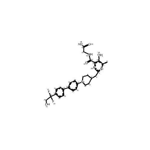 Cc1nc(CC2CCN(c3ccc(-c4ccc(C(F)(F)CO)cc4)cc3)CC2)nc(C(=O)NCC(=O)O)c1O